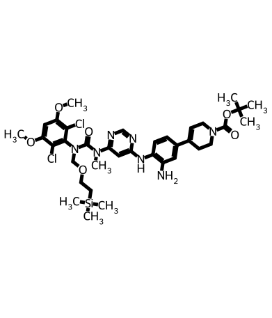 COc1cc(OC)c(Cl)c(N(COCC[Si](C)(C)C)C(=O)N(C)c2cc(Nc3ccc(C4=CCN(C(=O)OC(C)(C)C)CC4)cc3N)ncn2)c1Cl